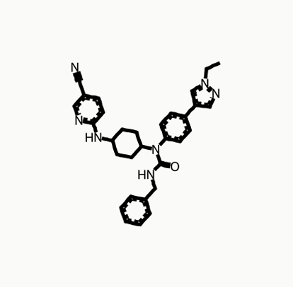 CCn1cc(-c2ccc(N(C(=O)NCc3ccccc3)C3CCC(Nc4ccc(C#N)cn4)CC3)cc2)cn1